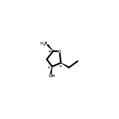 B[C@@H]1C[C@H](O)[C@H](CC)O1